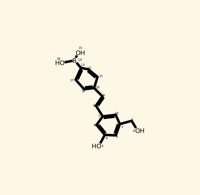 OCc1cc(O)cc(C=Cc2ccc(B(O)O)cc2)c1